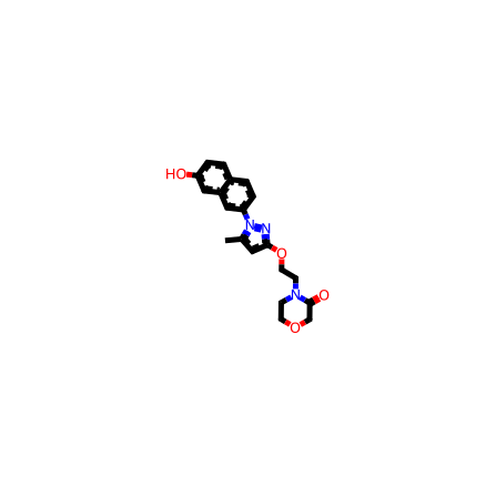 Cc1cc(OCCN2CCOCC2=O)nn1-c1ccc2ccc(O)cc2c1